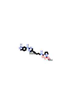 CNc1nc(Nc2ccc3cn[nH]c3c2)ncc1C#CCCCNC(=O)[C@@H]1CCCN1C(=O)OC(C)(C)C